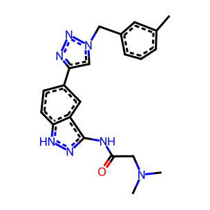 Cc1cccc(Cn2cc(-c3ccc4[nH]nc(NC(=O)CN(C)C)c4c3)nn2)c1